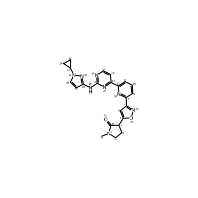 CN1CCC(c2cc(-c3cccc(-c4ccnc(Nc5ccn(C6CC6)n5)n4)n3)no2)C1=O